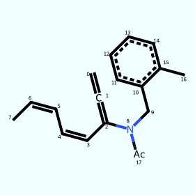 C=C=C(/C=C\C=C/C)N(Cc1ccccc1C)C(C)=O